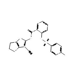 Cc1ccc(S(=O)(=O)Nc2ccccc2C(=O)Nc2sc3c(c2C#N)CCC3)cc1